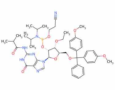 CCO[C@H]1[C@@H](OP(OCCC#N)N(C(C)C)C(C)C)[C@H](n2cnc3c(=O)[nH]c(NC(=O)C(C)C)nc32)O[C@@H]1COC(c1ccccc1)(c1ccc(OC)cc1)c1ccc(OC)cc1